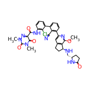 COc1nc(-c2cccc(-c3cccc(NC(=O)c4nn(C)c(=O)n(C)c4=O)c3Cl)c2C#N)cc2c1[C@@H](NC[C@@H]1CCC(=O)N1)CC2